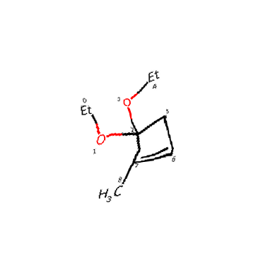 CCOC1(OCC)CC=C1C